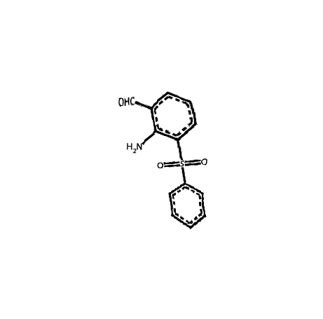 Nc1c(C=O)cccc1S(=O)(=O)c1ccccc1